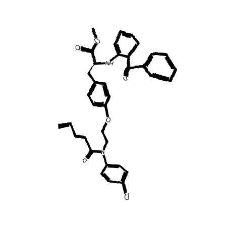 C=CCCC(=O)N(CCOc1ccc(C[C@H](Nc2ccccc2C(=O)c2ccccc2)C(=O)OC)cc1)c1ccc(Cl)cc1